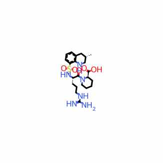 C[C@@H]1CNc2c(cccc2S(=O)(=O)N[C@@H](CCCNC(=N)N)C(=O)N2CCCC[C@@H]2C(=O)O)C1